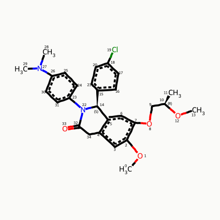 COc1cc2c(cc1OC[C@@H](C)OC)[C@H](c1ccc(Cl)cc1)N(c1ccc(N(C)C)cc1)C(=O)C2